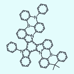 CC1(C)c2ccccc2B2c3c(cccc31)-n1c3c2cccc3c2c3c(c4cccc5c4n3-c3cccc4c3B5c3ccccc3N4c3ccccc3)c3c(c4ccccc4n3-c3ccccc3)c21